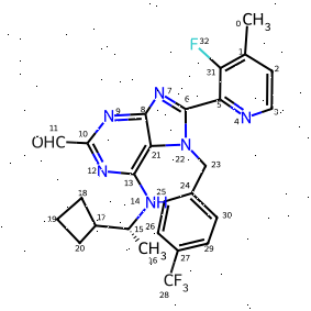 Cc1ccnc(-c2nc3nc(C=O)nc(N[C@H](C)C4CCC4)c3n2Cc2ccc(C(F)(F)F)cc2)c1F